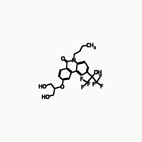 CCCCn1c(=O)c2ccc(OC(CO)CO)cc2c2cc(C(O)(C(F)(F)F)C(F)(F)F)ccc21